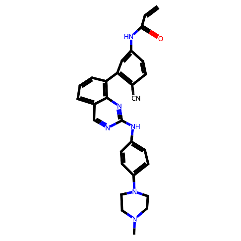 C=CC(=O)Nc1ccc(C#N)c(-c2cccc3cnc(Nc4ccc(N5CCN(C)CC5)cc4)nc23)c1